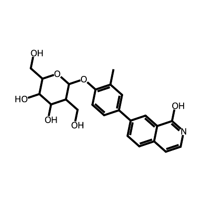 Cc1cc(-c2ccc3ccnc(O)c3c2)ccc1OC1OC(CO)C(O)C(O)C1CO